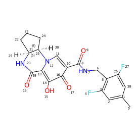 Cc1cc(F)c(CNC(=O)c2cn3c(c(O)c2=O)C(=O)N[C@H]2CCC[C@H]23)c(F)c1